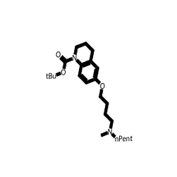 CCCCCN(C)CCCCOc1ccc2c(c1)CCCN2C(=O)OC(C)(C)C